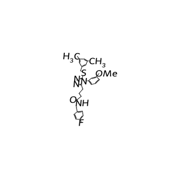 COc1cccc(-n2c(CCCC(=O)NCc3ccc(F)cc3)nnc2SCc2cc(C)cc(C)c2)c1